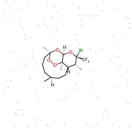 C[C@H]1CCC[C@]2(C)OO[C@@]3(C)[C@@H](O2)O[C@@](Br)(C(F)(F)F)[C@H](C)[C@@H]3CC1